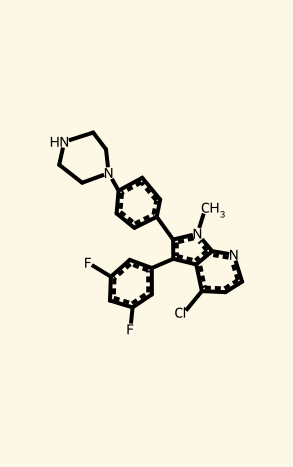 Cn1c(-c2ccc(N3CCNCC3)cc2)c(-c2cc(F)cc(F)c2)c2c(Cl)ccnc21